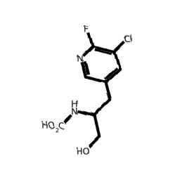 O=C(O)NC(CO)Cc1cnc(F)c(Cl)c1